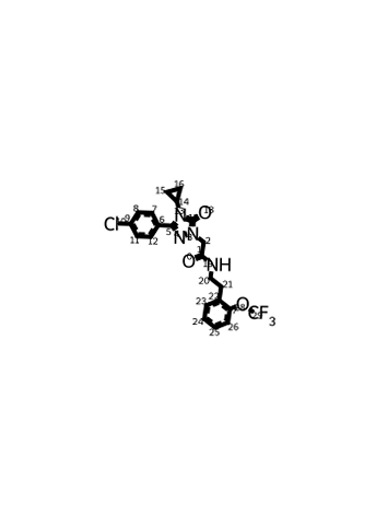 O=C(Cn1nc(-c2ccc(Cl)cc2)n(C2CC2)c1=O)NCCc1ccccc1OC(F)(F)F